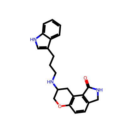 O=C1NCc2ccc3c(c21)CC(NCCCc1c[nH]c2ccccc12)CO3